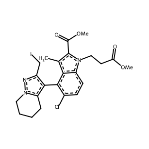 COC(=O)CCn1c(C(=O)OC)c(C)c2c(-c3c(CI)nn4c3CCCC4)c(Cl)ccc21